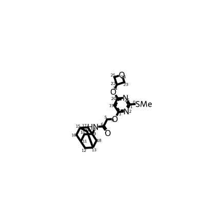 CSc1nc(OCC(=O)NC23CC4CC(CC(C4)C2)C3)cc(OC2COC2)n1